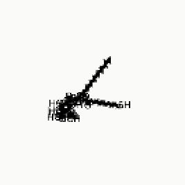 CCCCCCCCCCCCCCCC(=O)O[C@H](COC(=O)CCCCCCCCCCS)COP(=O)(O)OC1C(O)[C@@H](OP(=O)(O)O)C(OP(=O)(O)O)[C@@H](O)[C@H]1O